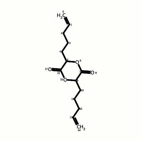 C=CCCCC1OC(=O)C(CCCC=C)OC1=O